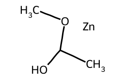 COC(C)O.[Zn]